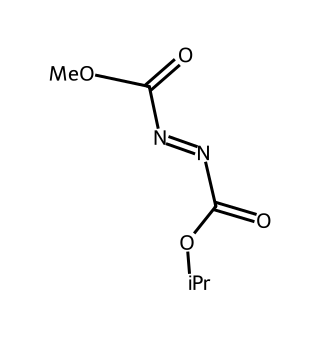 COC(=O)N=NC(=O)OC(C)C